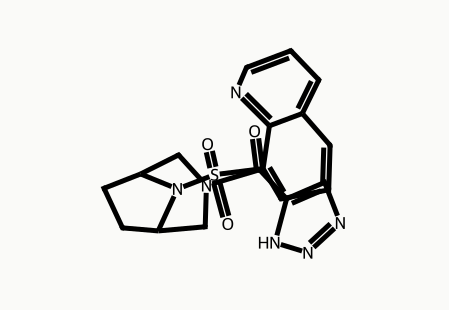 O=C(c1cnn[nH]1)N1CC2CCC(C1)N2S(=O)(=O)c1cccc2cccnc12